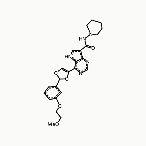 COCCOc1cccc(C2OC=C(c3ncnc4c(C(=O)NN5CCCCC5)c[nH]c34)O2)c1